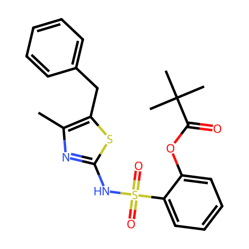 Cc1nc(NS(=O)(=O)c2ccccc2OC(=O)C(C)(C)C)sc1Cc1ccccc1